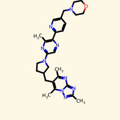 Cc1nc2nc(C)c(CC3CCN(c4cnc(-c5ccc(CN6CCOCC6)cn5)c(C)n4)C3)c(C)n2n1